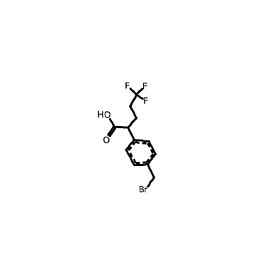 O=C(O)C(CCC(F)(F)F)c1ccc(CBr)cc1